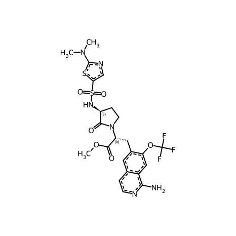 COC(=O)[C@@H](Cc1cc2ccnc(N)c2cc1OC(F)(F)F)N1CC[C@H](NS(=O)(=O)c2cnc(N(C)C)s2)C1=O